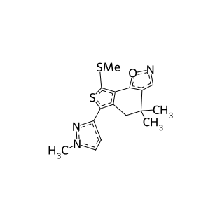 CSc1sc(-c2ccn(C)n2)c2c1-c1oncc1C(C)(C)C2